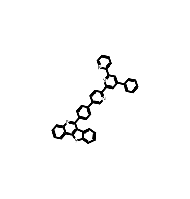 c1ccc(-c2cc(-c3ccccn3)nc(-c3ccc(-c4ccc(-c5nc6ccccc6c6sc7ccccc7c56)cc4)cn3)c2)cc1